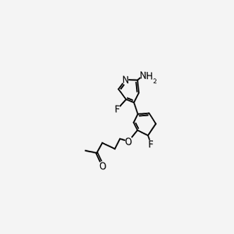 CC(=O)CCCOC1=CC(c2cc(N)ncc2F)=CCC1F